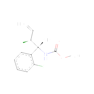 C=C[C@H](F)[C@](C)(NC(=O)OC(C)(C)C)c1ccccc1F